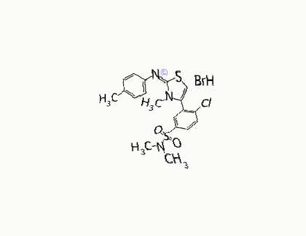 Br.Cc1ccc(/N=c2/scc(-c3cc(S(=O)(=O)N(C)C)ccc3Cl)n2C)cc1